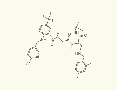 Cc1ccc(CNCC(NC(=O)CNC(=O)c2cc(C(F)(F)F)ccc2NCc2ccc(Cl)cc2)C(=O)NC(C)(C)C)c(C)c1